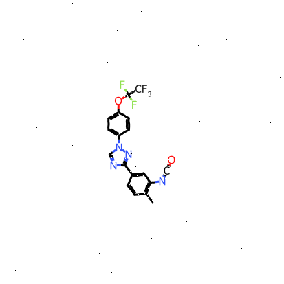 Cc1ccc(-c2ncn(-c3ccc(OC(F)(F)C(F)(F)F)cc3)n2)cc1N=C=O